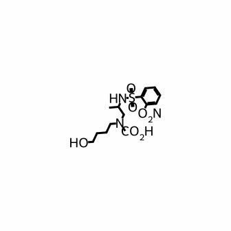 CC(CN(CCCCO)C(=O)O)NS(=O)(=O)c1ccccc1[N+](=O)[O-]